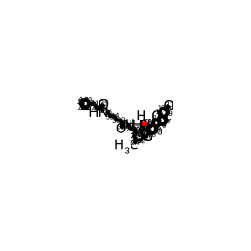 CC1=C2CC3C(CC=C4CC(=O)CCC43C)C2CCC12OC1CC(C)CN(CCNC(=O)CCCCCNC(=O)CCc3ccccc3)C1C2C